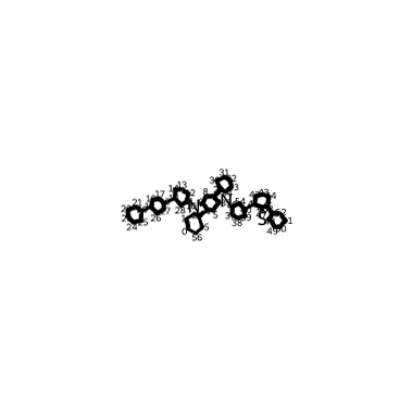 C1=Cc2c(c3cc4c(cc3n2-c2cccc(-c3ccc(-c5ccccc5)cc3)c2)c2ccccc2n4-c2cccc(-c3cccc4c3sc3ccccc34)c2)CC1